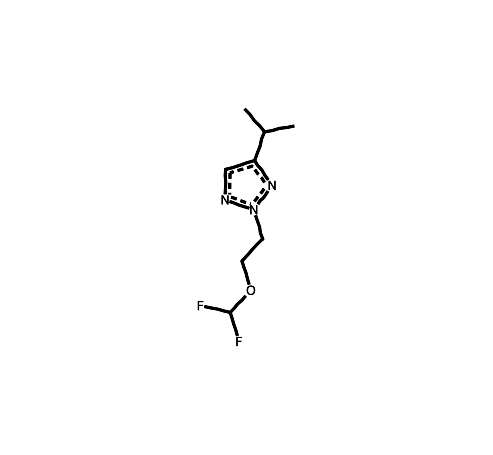 CC(C)c1cnn(CCOC(F)F)n1